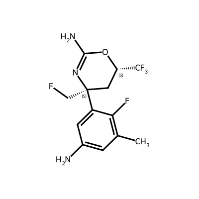 Cc1cc(N)cc([C@]2(CF)C[C@@H](C(F)(F)F)OC(N)=N2)c1F